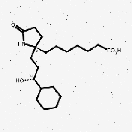 O=C(O)CCCCCC[C@]1(CC[C@@H](O)C2CCCCC2)CCC(=O)N1